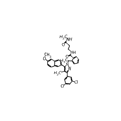 CNC(=O)CCNC(=O)c1ccccc1C(C)n1nc(-c2cc(Cl)cc(Cl)c2)c(C)c1-c1ccc2cc(OC)ccc2c1